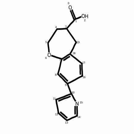 O=C(O)C1CCOc2cc(-c3ccccn3)ccc2C1